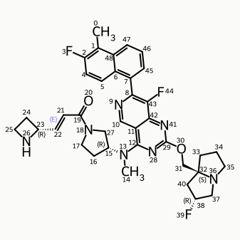 Cc1c(F)ccc2c(-c3ncc4c(N(C)[C@@H]5CCN(C(=O)/C=C/[C@H]6CCN6)C5)nc(OC[C@@]56CCCN5C[C@H](F)C6)nc4c3F)cccc12